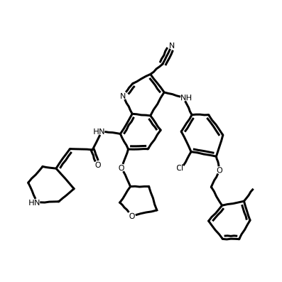 Cc1ccccc1COc1ccc(Nc2c(C#N)cnc3c(NC(=O)C=C4CCNCC4)c(OC4CCOC4)ccc23)cc1Cl